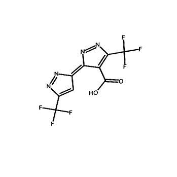 O=C(O)C1=C(C(F)(F)F)N=NC1=C1C=C(C(F)(F)F)N=N1